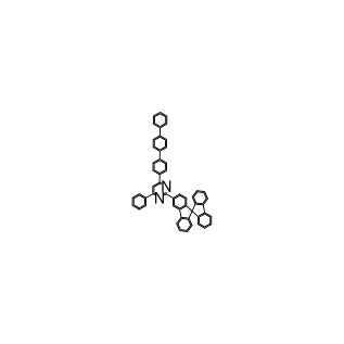 c1ccc(-c2ccc(-c3ccc(-c4cc(-c5ccccc5)nc(-c5ccc6c(c5)-c5ccccc5C65c6ccccc6-c6ccccc65)n4)cc3)cc2)cc1